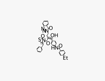 CCc1ccc(C(=O)Nc2ccc([C@@H](O)[C@H](CCn3nnc4ccccc4c3=O)C(=O)N3C(=O)SC[C@@H]3Cc3ccccc3)cc2)cc1